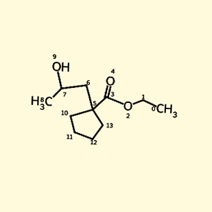 CCOC(=O)C1(CC(C)O)CCCC1